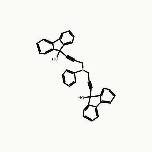 OC1(C#CCN(CC#CC2(O)c3ccccc3-c3ccccc32)c2ccccc2)c2ccccc2-c2ccccc21